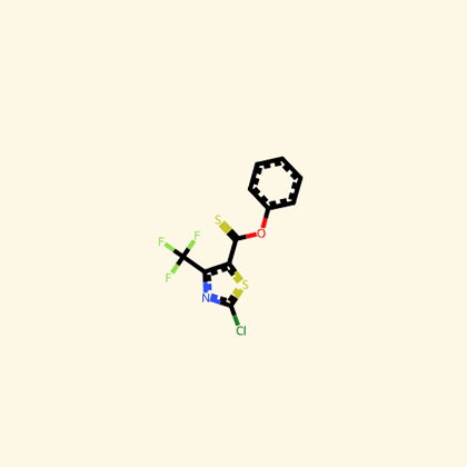 FC(F)(F)c1nc(Cl)sc1C(=S)Oc1ccccc1